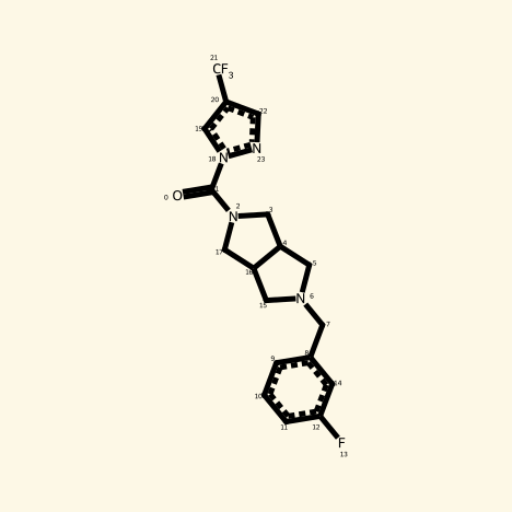 O=C(N1CC2CN(Cc3cccc(F)c3)CC2C1)n1cc(C(F)(F)F)cn1